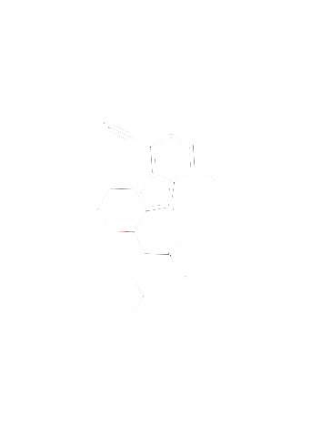 CCC[C@@H](C(=O)O)C1OCCc2c1[nH]c1c(C)ccc(C#N)c21